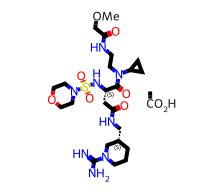 CC(=O)O.COCC(=O)NCCN(C(=O)[C@H](CC(=O)NC[C@@H]1CCCN(C(=N)N)C1)NS(=O)(=O)N1CCOCC1)C1CC1